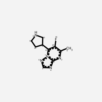 Cc1nc2ncnn2c(C2CCNC2)c1F